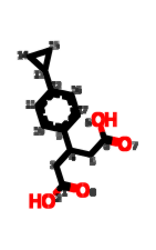 O=C(O)CC(CC(=O)O)c1ccc(C2CC2)cc1